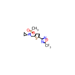 CS(=O)(=O)N(Cc1ccc(-c2noc(C(F)(F)F)n2)s1)C1CC1